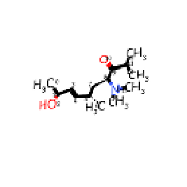 CC(O)/C=C/[C@@H](C)C[C@@H](C(=O)C(C)C)N(C)C